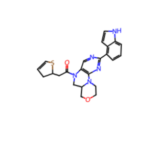 O=C(CC1CC=CS1)N1CC2COCCN2c2nc(-c3cccc4[nH]ccc34)ncc21